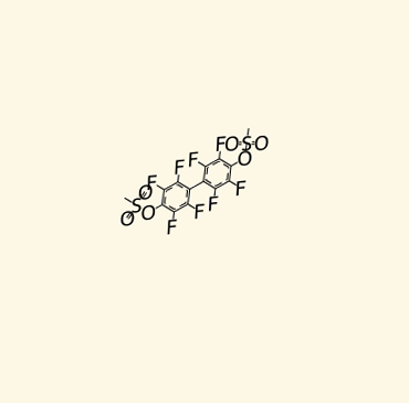 CS(=O)(=O)Oc1c(F)c(F)c(-c2c(F)c(F)c(OS(C)(=O)=O)c(F)c2F)c(F)c1F